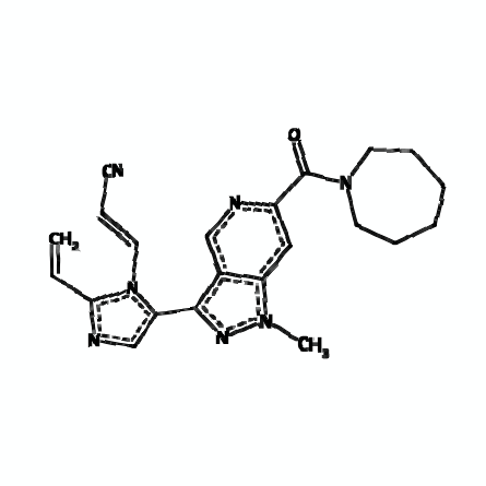 C=Cc1ncc(-c2nn(C)c3cc(C(=O)N4CCCCCC4)ncc23)n1/C=C/C#N